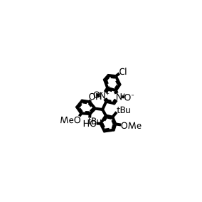 COc1ccc(O)c(C(c2c(O)ccc(OC)c2C(C)(C)C)c2c[n+]([O-])c3cc(Cl)ccc3[n+]2[O-])c1C(C)(C)C